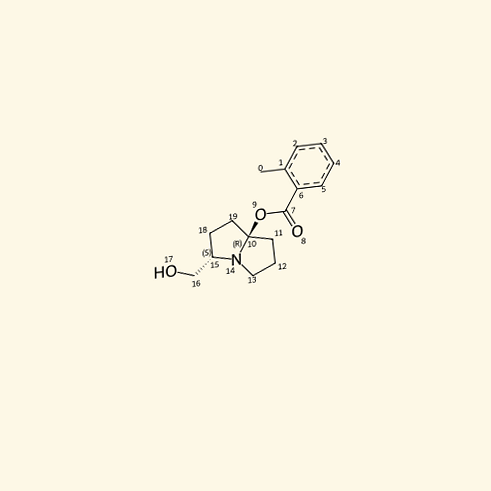 Cc1ccccc1C(=O)O[C@@]12CCCN1[C@H](CO)CC2